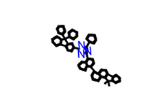 CC1(C)c2ccccc2-c2ccc3c(-c4ccc(-c5nc(-c6ccccc6)nc(-c6ccc7c(c6)C(c6ccccc6)(c6ccccc6)c6ccccc6-7)n5)c5ccccc45)cccc3c21